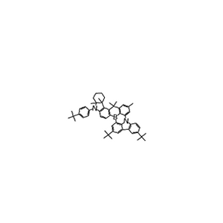 Cc1cc2c3c(c1)C(C)(C)c1c(ccc4c1C1(C)CCCCC1(C)N4c1ccc(C(C)(C)C)cc1)B3c1cc(C(C)(C)C)cc3c4cc(C(C)(C)C)ccc4n-2c13